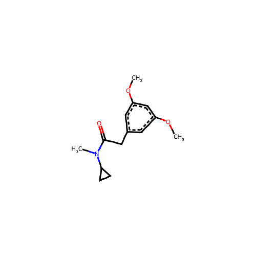 COc1cc(CC(=O)N(C)C2CC2)cc(OC)c1